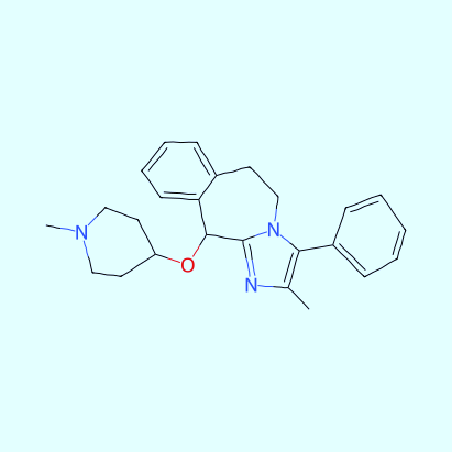 Cc1nc2n(c1-c1ccccc1)CCc1ccccc1C2OC1CCN(C)CC1